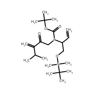 C=CC(CO[Si](C)(C)C(C)(C)C)N(CC(=O)C(=C)C(C)C)C(=O)OC(C)(C)C